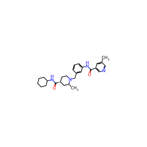 Cc1cncc(C(=O)Nc2cccc(CN3CC[C@H](C(=O)NC4CCCCC4)C[C@@H]3C)c2)c1